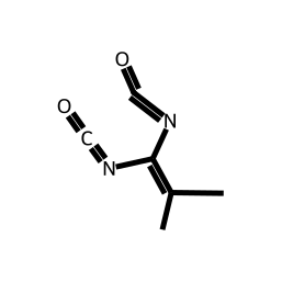 CC(C)=C(N=C=O)N=C=O